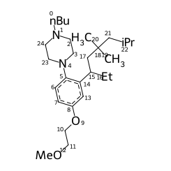 CCCCN1CCN(c2ccc(OCCOC)cc2C(CC)CC(C)(C)CC(C)C)CC1